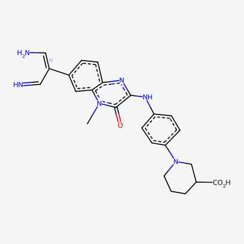 Cn1c(=O)c(Nc2ccc(N3CCCC(C(=O)O)C3)cc2)nc2ccc(/C(C=N)=C/N)cc21